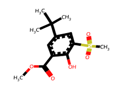 COC(=O)c1cc(C(C)(C)C)cc(S(C)(=O)=O)c1O